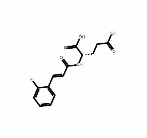 O=C(O)CC[C@H](NC(=O)/C=C/c1ccccc1F)C(=O)O